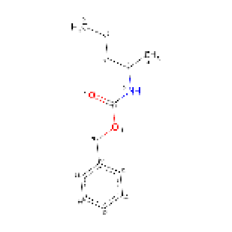 CCCC(C)NC(=O)OCc1ccccc1